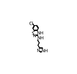 Clc1ccc2c(c1)SN=C(NCCCc1c[nH]cn1)N2